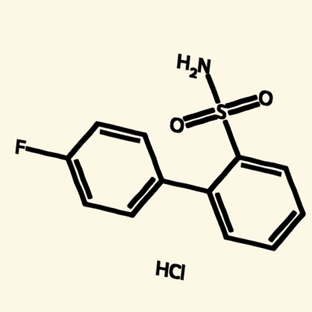 Cl.NS(=O)(=O)c1ccccc1-c1ccc(F)cc1